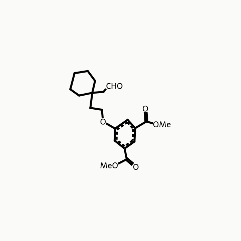 COC(=O)c1cc(OCCC2(CC=O)CCCCC2)cc(C(=O)OC)c1